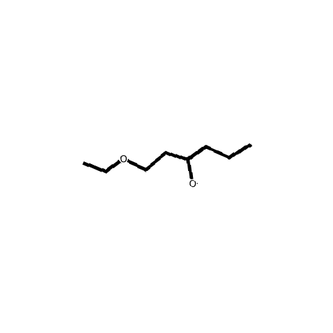 CCCC([O])CCOCC